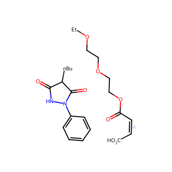 CCCCC1C(=O)NN(c2ccccc2)C1=O.CCOCCOCCOC(=O)/C=C\C(=O)O